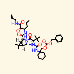 C=CCNC(=O)C(=O)C(CCC)NC(=O)[C@@H]1[C@@H]2[C@H](CN1C(=O)[C@@H](NC(=O)NC1(COC(=O)OCc3ccccc3)CCCCC1)C(C)(C)C)C2(C)C